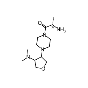 C[C@H](N)C(=O)N1CCN(C2COCC2N(C)C)CC1